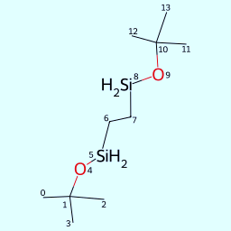 CC(C)(C)O[SiH2]CC[SiH2]OC(C)(C)C